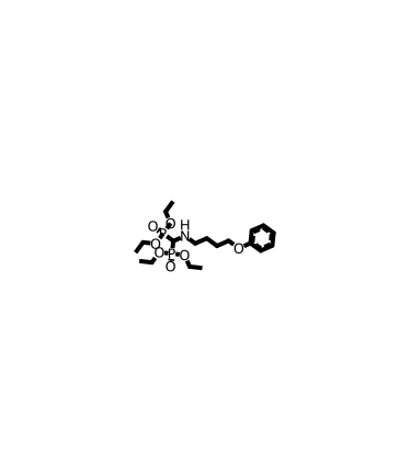 CCOP(=O)(OCC)C(NCCCCOc1ccccc1)P(=O)(OCC)OCC